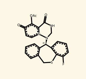 CC(=O)Oc1c2n(ccc1=O)N([C@@H]1c3ccccc3CSc3c(F)cccc31)CNC2=O